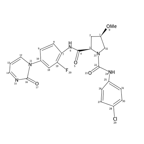 CO[C@@H]1C[C@H](C(=O)Nc2ccc(-n3cccnc3=O)cc2F)N(C(=O)Nc2ccc(Cl)cc2)C1